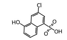 O=S(=O)(O)c1cc(Cl)cc2c(O)cccc12